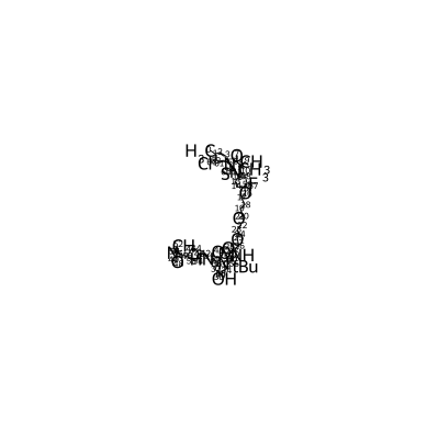 Cc1ccc(N2C(=O)C(C)(C)N(c3ccc(OCCCCOCCCOCC(=O)N[C@H](C(=O)N4C[C@H](O)C[C@H]4C(=O)NCc4ccc(-c5ocnc5C)cc4)C(C)(C)C)c(F)c3)C2=S)cc1Cl